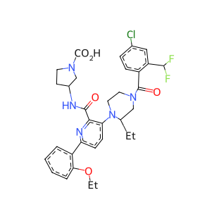 CCOc1ccccc1-c1ccc(N2CCN(C(=O)c3ccc(Cl)cc3C(F)F)CC2CC)c(C(=O)NC2CCN(C(=O)O)C2)n1